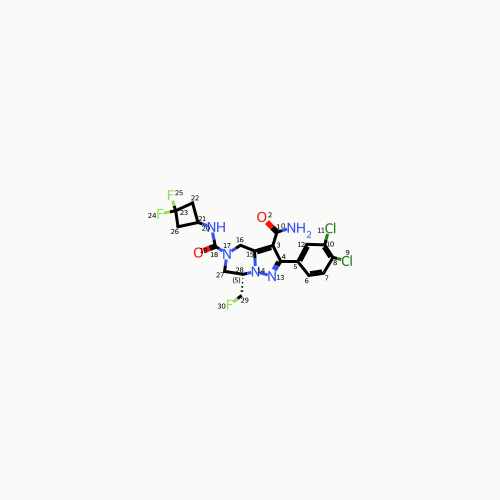 NC(=O)c1c(-c2ccc(Cl)c(Cl)c2)nn2c1CN(C(=O)NC1CC(F)(F)C1)C[C@H]2CF